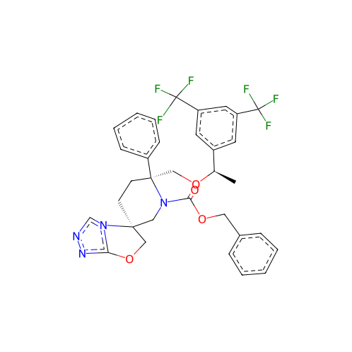 C[C@@H](OC[C@@]1(c2ccccc2)CC[C@@]2(COc3nncn32)CN1C(=O)OCc1ccccc1)c1cc(C(F)(F)F)cc(C(F)(F)F)c1